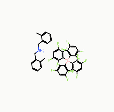 Cc1ccccc1C[NH2+]Cc1ccccc1C.Fc1cc(F)c(F)c([B-](c2c(F)c(F)cc(F)c2F)(c2c(F)c(F)cc(F)c2F)c2c(F)c(F)cc(F)c2F)c1F